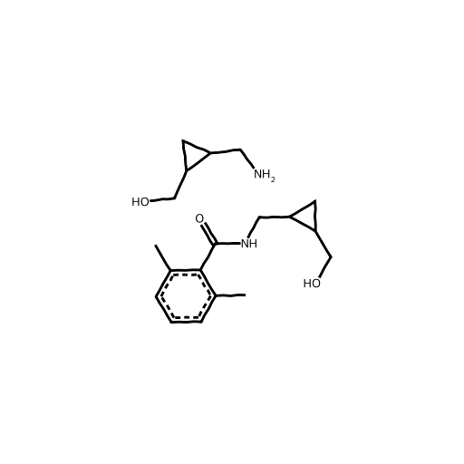 Cc1cccc(C)c1C(=O)NCC1CC1CO.NCC1CC1CO